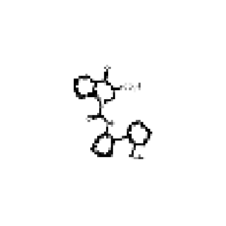 COc1ccccc1-c1ccccc1NC(=O)n1cc(C(=O)O)c(=O)c2ccccc21